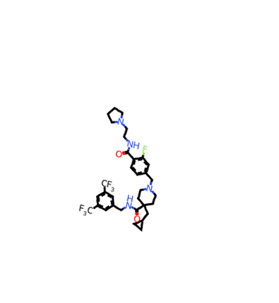 O=C(NCCN1CCCC1)c1ccc(CN2CCC(CC3CC3)(C(=O)NCc3cc(C(F)(F)F)cc(C(F)(F)F)c3)CC2)cc1F